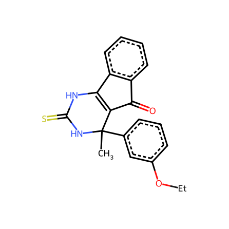 CCOc1cccc(C2(C)NC(=S)NC3=C2C(=O)c2ccccc23)c1